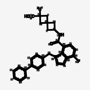 [2H]C1(C(=O)O)CC2(CC(NC(=O)c3ccc(F)c4ccn(Cc5ccc(-c6ccccc6)cc5)c34)C2)C1